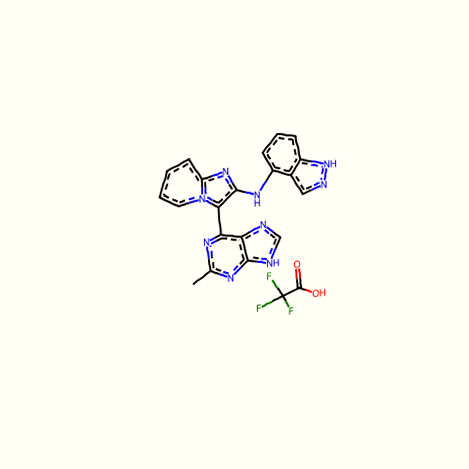 Cc1nc(-c2c(Nc3cccc4[nH]ncc34)nc3ccccn23)c2nc[nH]c2n1.O=C(O)C(F)(F)F